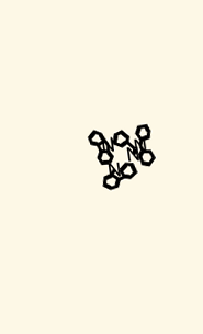 C1=Cc2nc(-c3cccc(-n4c5ccccc5c5ccc(-n6c7ccccc7c7ccccc76)cc54)c3)n(-c3ccccc3)c2CC1